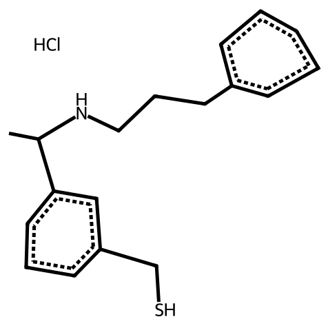 CC(NCCCc1ccccc1)c1cccc(CS)c1.Cl